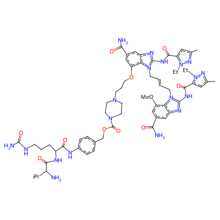 CCn1nc(C)cc1C(=O)Nc1nc2cc(C(N)=O)cc(OC)c2n1C/C=C/Cn1c(NC(=O)c2cc(C)nn2CC)nc2cc(C(N)=O)cc(OCCCN3CCN(C(=O)OCc4ccc(NC(=O)C(CCCNC(N)=O)NC(=O)C(N)C(C)C)cc4)CC3)c21